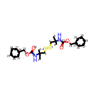 CC(C)(CSSCC(C)(C)NC(=O)OCc1ccccc1)NC(=O)OCc1ccccc1